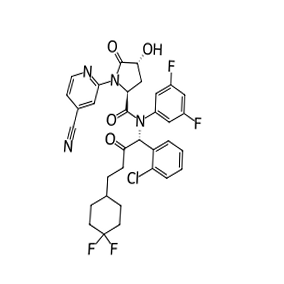 N#Cc1ccnc(N2C(=O)[C@H](O)C[C@H]2C(=O)N(c2cc(F)cc(F)c2)[C@@H](C(=O)CCC2CCC(F)(F)CC2)c2ccccc2Cl)c1